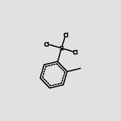 Cc1ccccc1[Si](Cl)(Cl)Cl